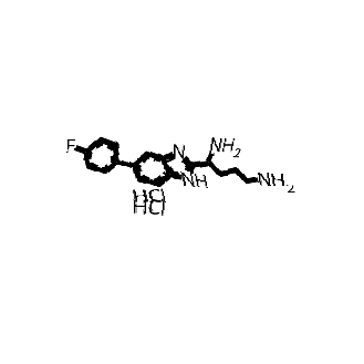 Cl.Cl.NCCCC(N)c1nc2cc(-c3ccc(F)cc3)ccc2[nH]1